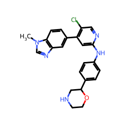 Cn1cnc2cc(-c3cc(Nc4ccc(C5CNCCO5)cc4)ncc3Cl)ccc21